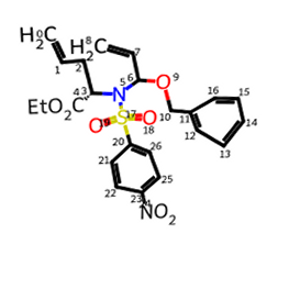 C=CC[C@@H](C(=O)OCC)N(C(C=C)OCc1ccccc1)S(=O)(=O)c1ccc([N+](=O)[O-])cc1